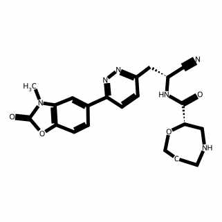 Cn1c(=O)oc2ccc(-c3ccc(C[C@H](C#N)NC(=O)[C@@H]4CNCCCO4)nn3)cc21